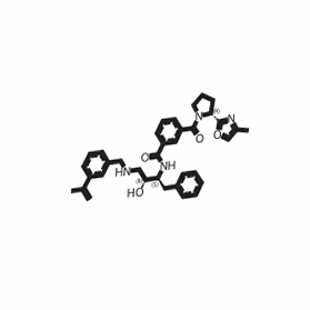 C=C(C)c1cccc(CNC[C@@H](O)[C@H](Cc2ccccc2)NC(=O)c2cccc(C(=O)N3CCC[C@@H]3c3nc(C)co3)c2)c1